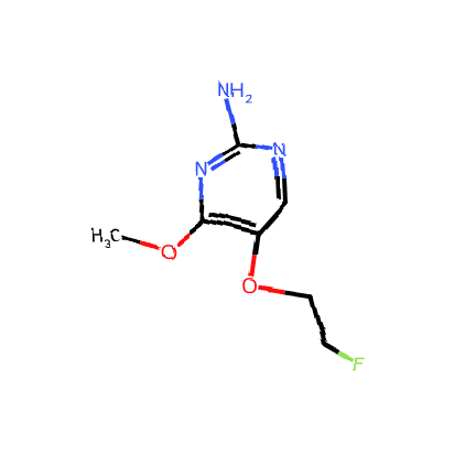 COc1nc(N)ncc1OCCF